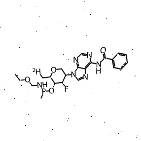 [2H]CC1OCC(n2cnc3c(NC(=O)c4ccccc4)ncnc32)C(F)C1OP(C)NCOCC